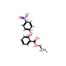 CCOC(=O)c1ccccc1Oc1ccc([N+](=O)[O-])cc1